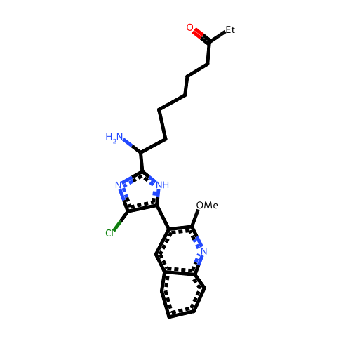 CCC(=O)CCCCCC(N)c1nc(Cl)c(-c2cc3ccccc3nc2OC)[nH]1